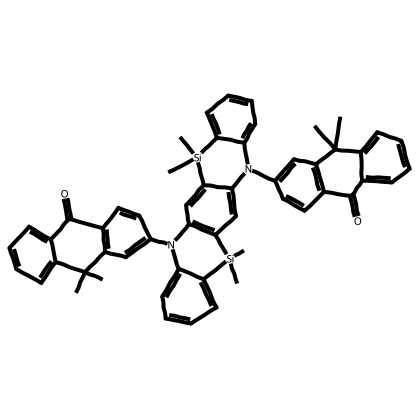 CC1(C)c2ccccc2C(=O)c2ccc(N3c4ccccc4[Si](C)(C)c4cc5c(cc43)[Si](C)(C)c3ccccc3N5c3ccc4c(c3)C(C)(C)c3ccccc3C4=O)cc21